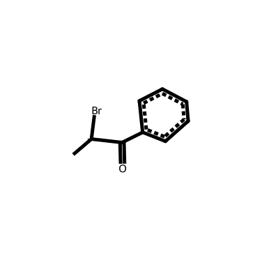 C[C](Br)C(=O)c1ccccc1